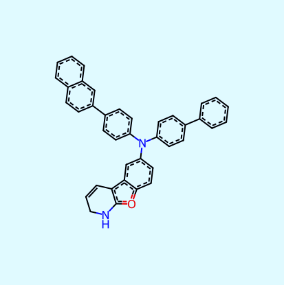 C1=Cc2c(oc3ccc(N(c4ccc(-c5ccccc5)cc4)c4ccc(-c5ccc6ccccc6c5)cc4)cc23)NC1